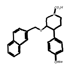 COc1ccc(C2CCN(C(=O)O)CC2OCc2ccc3ccccc3c2)cc1